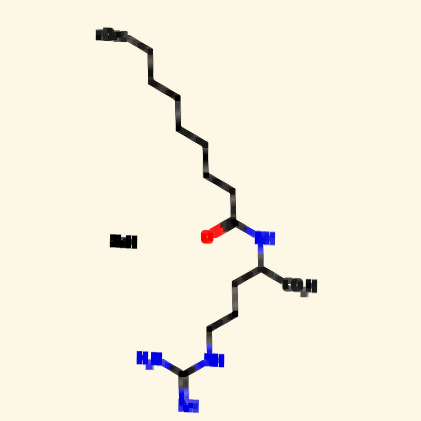 CCCCCCCCCCCCCCCCCC(=O)NC(CCCNC(=N)N)C(=O)O.[NaH]